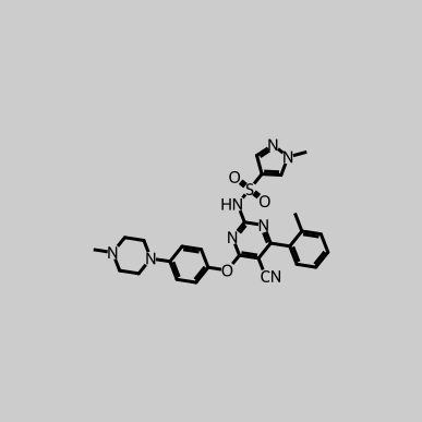 Cc1ccccc1-c1nc(NS(=O)(=O)c2cnn(C)c2)nc(Oc2ccc(N3CCN(C)CC3)cc2)c1C#N